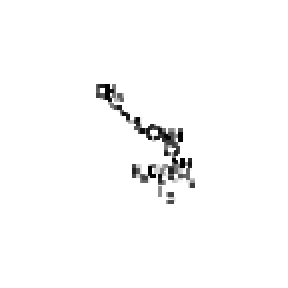 CCCCCCCCSCc1ccc(Nc2ccc(NC(C)CC(C)C)cc2)cc1